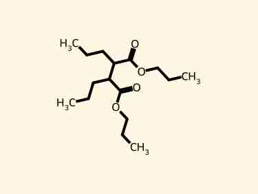 CCCOC(=O)C(CCC)C(CCC)C(=O)OCCC